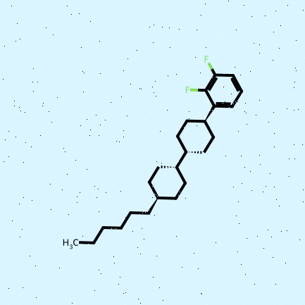 CCCCCC[C@H]1CC[C@H]([C@H]2CC[C@H](c3cccc(F)c3F)CC2)CC1